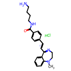 CN1CCN=C(/C=C/c2ccc(C(=O)NCCCCN)cc2)c2ccccc21.Cl